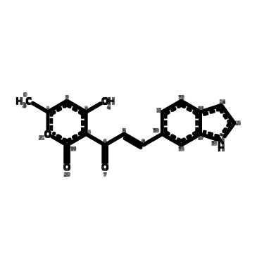 Cc1cc(O)c(C(=O)C=Cc2ccc3cc[nH]c3c2)c(=O)o1